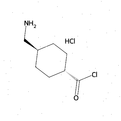 Cl.NC[C@H]1CC[C@H](C(=O)Cl)CC1